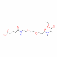 CCOC(=O)C(C)N(C)C(=O)CCOCCOCCNC(=O)CCCC(=O)O